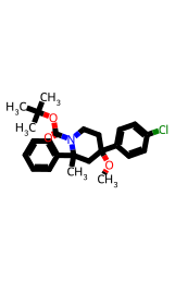 COC1(c2ccc(Cl)cc2)CCN(C(=O)OC(C)(C)C)C(C)(c2ccccc2)C1